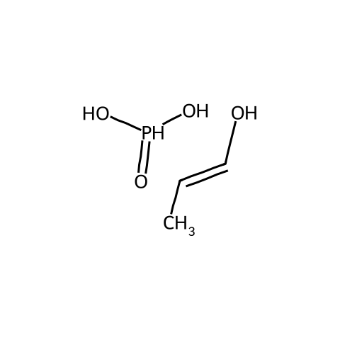 CC=CO.O=[PH](O)O